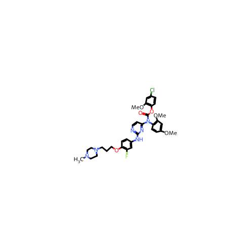 COc1ccc(N(C(=O)Oc2ccc(Cl)cc2OC)c2ccnc(Nc3ccc(OCCCN4CCN(C)CC4)c(F)c3)n2)c(OC)c1